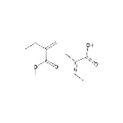 C=C(CC)C(=O)OC.CC=C(C)C(=O)O